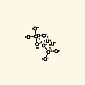 [Li+].[Li+].[O-][Cl+2]([O-])[O-].[O-][Cl+3]([O-])([O-])[O-]